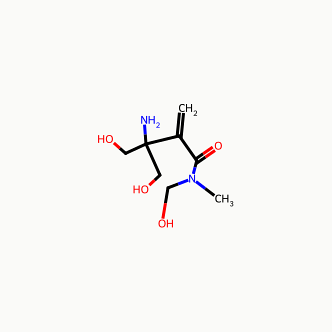 C=C(C(=O)N(C)CO)C(N)(CO)CO